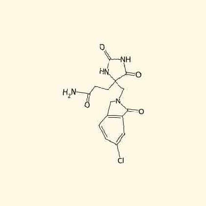 NC(=O)CCC1(CN2Cc3ccc(Cl)cc3C2=O)NC(=O)NC1=O